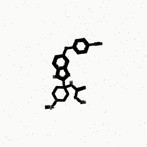 COc1ccc(Oc2ccc3[nH]c(C4(NC(=O)OC(C)(C)C)CCN(C(=O)O)CC4)nc3c2)cc1